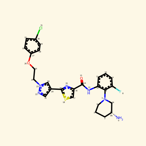 N[C@@H]1CCCN(c2c(F)cccc2NC(=O)c2csc(-c3cnn(CCOc4ccc(Cl)cc4)c3)n2)C1